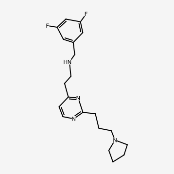 Fc1cc(F)cc(CNCCc2ccnc(CCCN3CCCC3)n2)c1